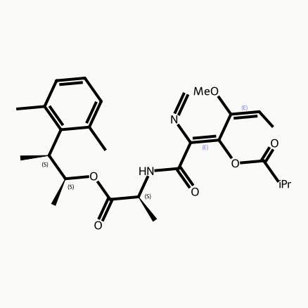 C=N/C(C(=O)N[C@@H](C)C(=O)O[C@@H](C)[C@@H](C)c1c(C)cccc1C)=C(OC(=O)C(C)C)\C(=C/C)OC